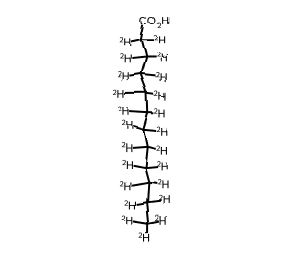 [2H]C([2H])([2H])C([2H])([2H])C([2H])([2H])C([2H])([2H])C([2H])([2H])C([2H])([2H])C([2H])([2H])C([2H])([2H])C([2H])([2H])C([2H])([2H])C([2H])([2H])C(=O)O